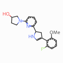 COc1cccc(F)c1C1=CNC(c2cccc(N3CCC(O)C3)n2)C1